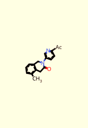 CC(=O)c1ccc(N2Cc3cccc(C)c3CC2=O)cn1